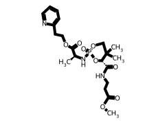 COC(=O)CCNC(=O)[C@@H]1OP(=O)(N[C@@H](C)C(=O)OCCc2ccccn2)OCC1(C)C